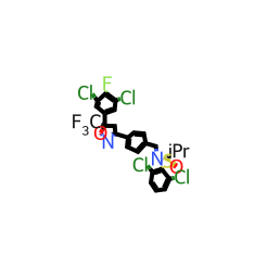 CC(C)S(=O)(=NCc1ccc(C2=NOC(c3cc(Cl)c(F)c(Cl)c3)(C(F)(F)F)C2)cc1)c1c(Cl)cccc1Cl